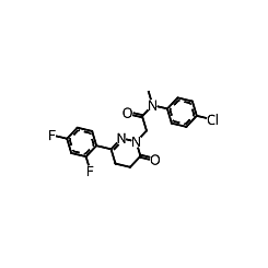 CN(C(=O)CN1N=C(c2ccc(F)cc2F)CCC1=O)c1ccc(Cl)cc1